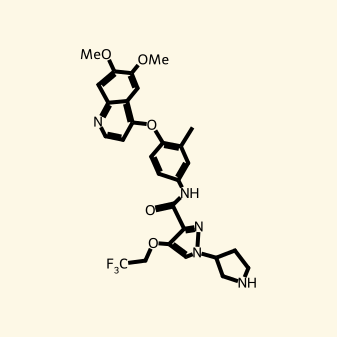 COc1cc2nccc(Oc3ccc(NC(=O)c4nn(C5CCNC5)cc4OCC(F)(F)F)cc3C)c2cc1OC